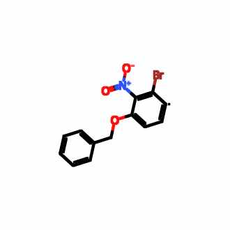 O=[N+]([O-])c1c(Br)[c]ccc1OCc1ccccc1